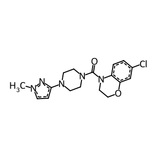 Cn1ccc(N2CCN(C(=O)N3CCOc4cc(Cl)ccc43)CC2)n1